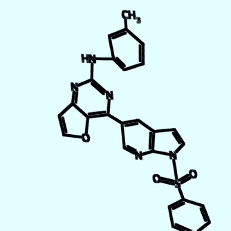 Cc1cccc(Nc2nc(-c3cnc4c(ccn4S(=O)(=O)c4ccccc4)c3)c3occc3n2)c1